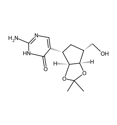 CC1(C)O[C@@H]2[C@@H](CO)C[C@@H](c3cnc(N)[nH]c3=O)[C@@H]2O1